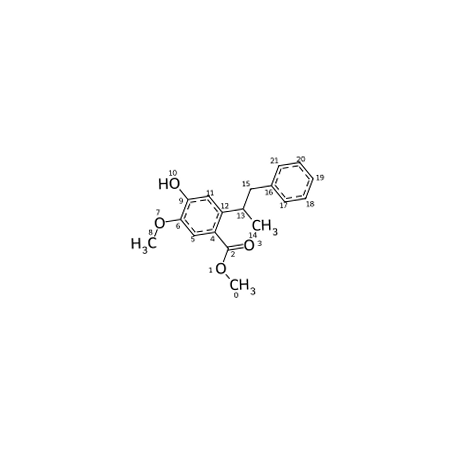 COC(=O)c1cc(OC)c(O)cc1C(C)Cc1ccccc1